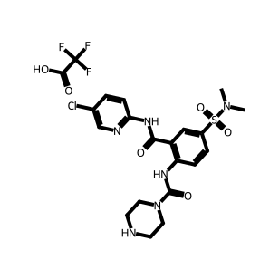 CN(C)S(=O)(=O)c1ccc(NC(=O)N2CCNCC2)c(C(=O)Nc2ccc(Cl)cn2)c1.O=C(O)C(F)(F)F